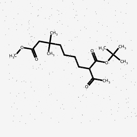 COC(=O)CC(C)(C)CCCCC(C(C)=O)C(=O)OC(C)(C)C